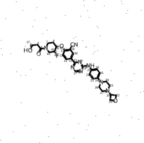 C[C@@H](O)CC(=O)N1CC[C@H](Oc2ccc(-c3ncnc(Nc4ccc(N5CCN(C6COC6)CC5)cc4)n3)cc2C#N)[C@@H](F)C1